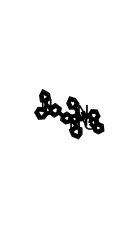 c1ccc(-c2nc(-c3cccc4c3oc3ccccc34)nc3c2c2cc(-c4ccc5c(c4)c4ccccc4n5-c4ccccc4)ccc2n3-c2ccccc2)cc1